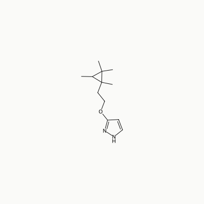 CC1C(C)(C)C1(C)CCOc1cc[nH]n1